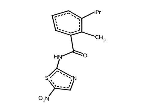 Cc1c(C(=O)Nc2ncc([N+](=O)[O-])s2)cccc1C(C)C